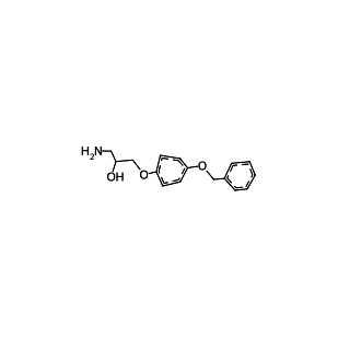 NCC(O)COc1ccc(OCc2ccccc2)cc1